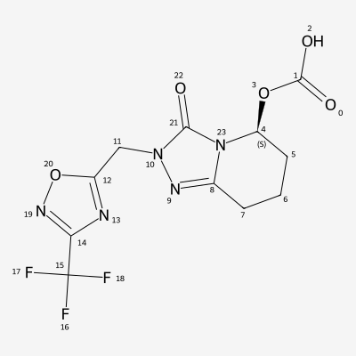 O=C(O)O[C@H]1CCCc2nn(Cc3nc(C(F)(F)F)no3)c(=O)n21